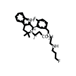 C[C@@H](CC(=O)O)N1[C@H](c2cc(COCCNCCCF)ccc2F)c2[nH]c3ccccc3c2CC1(C)C